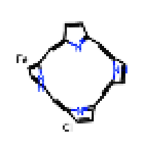 C1=Cc2cc3ccc(cc4nc(cc5ccc(cc1n2)[nH]5)C=C4)[nH]3.[C].[Fe]